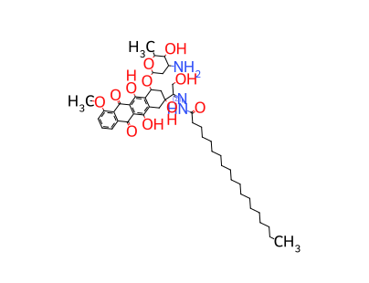 CCCCCCCCCCCCCCCCCCC(=O)N/N=C(/CO)C1(O)Cc2c(O)c3c(c(O)c2C(OC2CC(N)C(O)C(C)O2)C1)C(=O)c1c(OC)cccc1C3=O